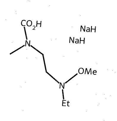 CCN(CCN(C)C(=O)O)OC.[NaH].[NaH]